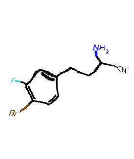 N#CC(N)CCc1ccc(Br)c(F)c1